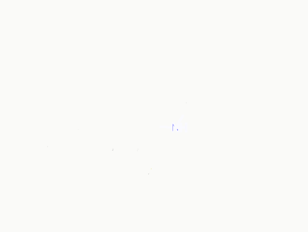 C=C/C=C\C=C(\S)CNCCCCC